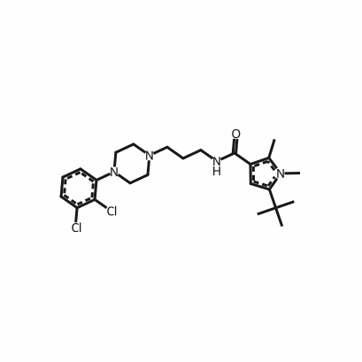 Cc1c(C(=O)NCCCN2CCN(c3cccc(Cl)c3Cl)CC2)cc(C(C)(C)C)n1C